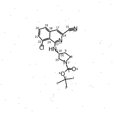 CC(C)(C)OC(=O)N1CC[C@H](Nc2nc(C#N)cc3cccc(Cl)c23)C1